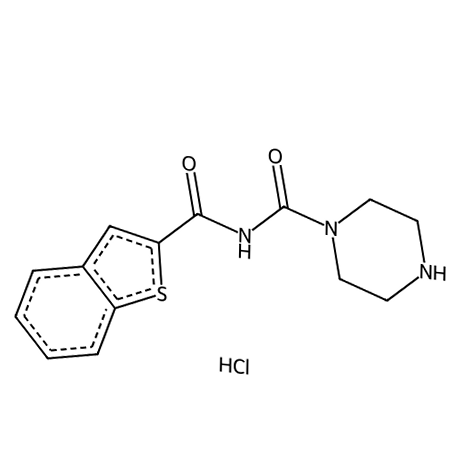 Cl.O=C(NC(=O)N1CCNCC1)c1cc2ccccc2s1